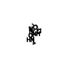 Cc1ccc(Cl)c2c(NC(=O)CNC3CC3)nn(C)c12